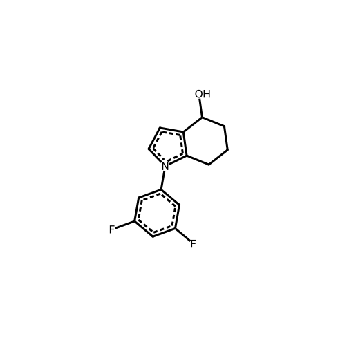 OC1CCCc2c1ccn2-c1cc(F)cc(F)c1